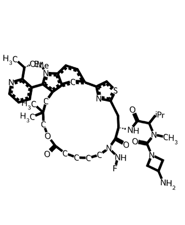 CCn1c(-c2cccnc2[C@H](C)OC)c2c3cc(ccc31)-c1csc(n1)C[C@H](NC(=O)C(C(C)C)N(C)C(=O)N1CC(N)C1)C(=O)N(NF)CCCCC(=O)OCC(C)(C)C2